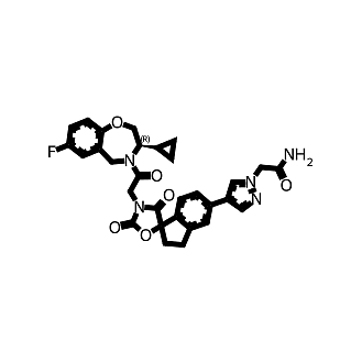 NC(=O)Cn1cc(-c2ccc3c(c2)CCC32OC(=O)N(CC(=O)N3Cc4cc(F)ccc4OC[C@H]3C3CC3)C2=O)cn1